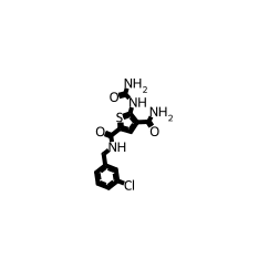 NC(=O)Nc1sc(C(=O)NCc2cccc(Cl)c2)cc1C(N)=O